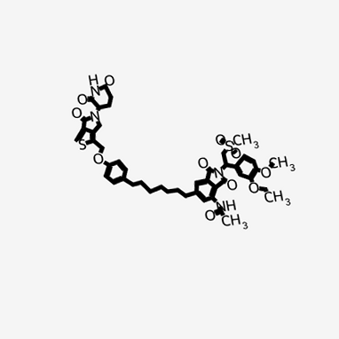 CCOc1cc(C(CS(C)(=O)=O)N2C(=O)c3cc(CCCCCCCc4ccc(OCc5scc6c5CN(C5CCC(=O)NC5=O)C6=O)cc4)cc(NC(C)=O)c3C2=O)ccc1OC